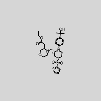 CCOC(=O)CC1COCCN1C[C@H]1CN(S(=O)(=O)c2cccs2)CCN1c1ccc(C(C)(C)O)cc1